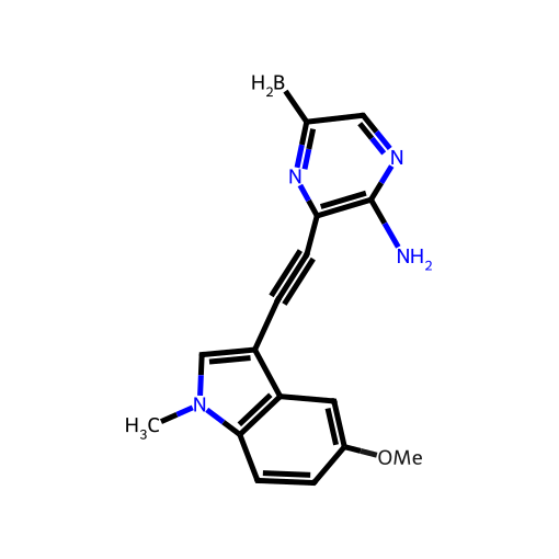 Bc1cnc(N)c(C#Cc2cn(C)c3ccc(OC)cc23)n1